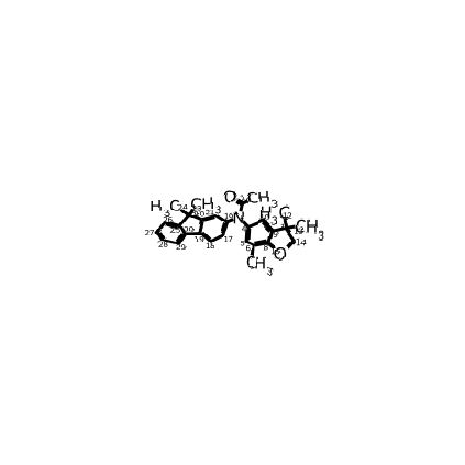 CC(=O)N(c1cc(C)c2c(c1)C(C)(C)CO2)c1ccc2c(c1)C(C)(C)c1ccccc1-2